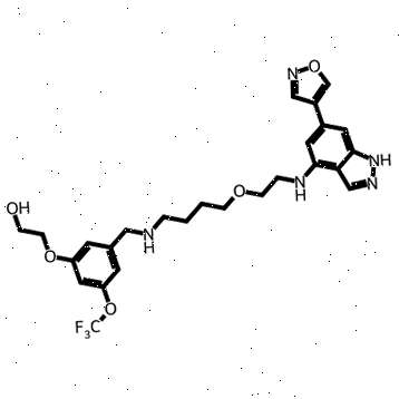 OCCOc1cc(CNCCCCOCCNc2cc(-c3cnoc3)cc3[nH]ncc23)cc(OC(F)(F)F)c1